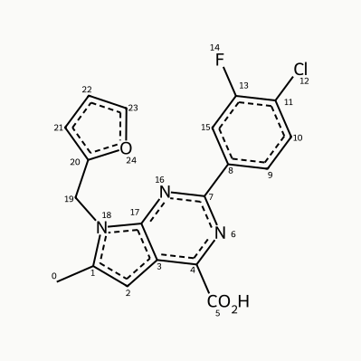 Cc1cc2c(C(=O)O)nc(-c3ccc(Cl)c(F)c3)nc2n1Cc1ccco1